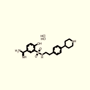 Cl.Cl.N=C(N)c1ccc(O)c(S(=O)(=O)NCCc2ccc(C3CCNCC3)cc2)c1